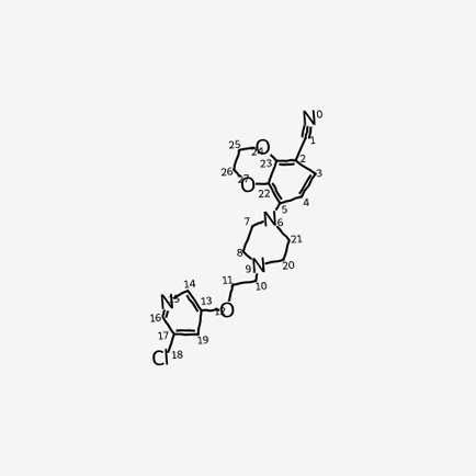 N#Cc1ccc(N2CCN(CCOc3cncc(Cl)c3)CC2)c2c1OCCO2